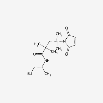 CCC(C)CC(C)NC(=O)C(C)(C)CC(C)(C)N1C(=O)C=CC1=O